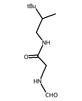 CC(CNC(=O)CNC=O)C(C)(C)C